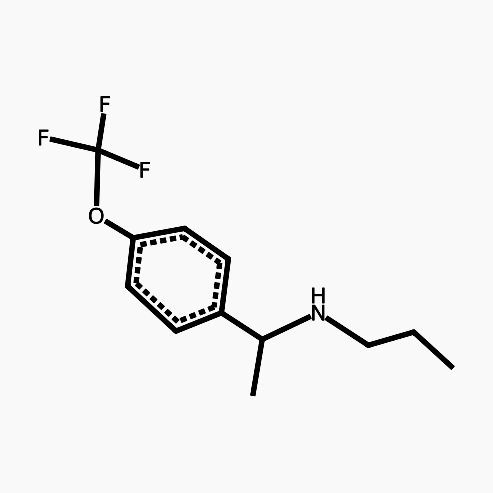 CCCNC(C)c1ccc(OC(F)(F)F)cc1